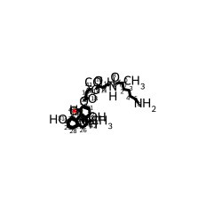 C[C@@H](CCCCN)C(=O)NCCC(=O)O[C@@H](CC(=O)OC1=CC[C@@]2(O)[C@H]3Cc4ccc(O)c5c4[C@@]2(CCN3C)[C@H]1O5)C(=O)O